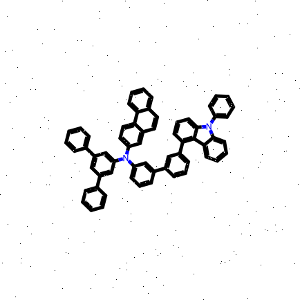 c1ccc(-c2cc(-c3ccccc3)cc(N(c3cccc(-c4cccc(-c5cccc6c5c5ccccc5n6-c5ccccc5)c4)c3)c3ccc4c(ccc5ccccc54)c3)c2)cc1